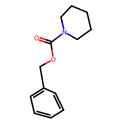 O=C(OCc1ccccc1)N1C[CH]CCC1